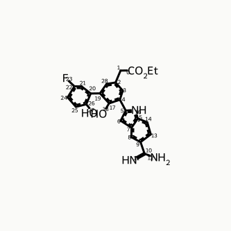 CCOC(=O)Cc1cc(-c2cc3cc(C(=N)N)ccc3[nH]2)c(O)c(-c2cc(F)ccc2O)c1